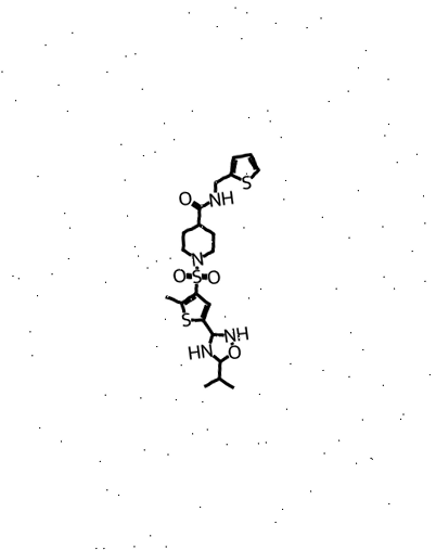 Cc1sc(C2NOC(C(C)C)N2)cc1S(=O)(=O)N1CCC(C(=O)NCc2cccs2)CC1